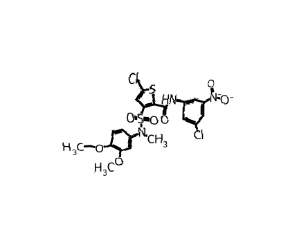 CCOc1ccc(N(C)S(=O)(=O)c2cc(Cl)sc2C(=O)Nc2cc(Cl)cc([N+](=O)[O-])c2)cc1OC